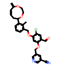 C=C1/C=C\CC(c2cccc(COc3cc(OCc4cncc(C#N)c4)c(C=O)cc3Cl)c2C)OCCO1